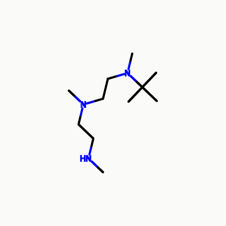 CNCCN(C)CCN(C)C(C)(C)C